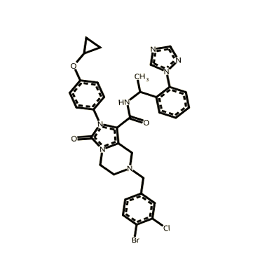 CC(NC(=O)c1c2n(c(=O)n1-c1ccc(OC3CC3)cc1)CCN(Cc1ccc(Br)c(Cl)c1)C2)c1ccccc1-n1cncn1